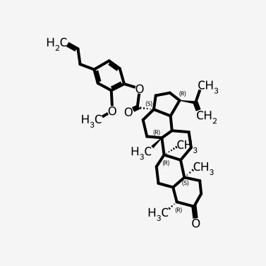 C=CCc1ccc(OC(=O)[C@]23CC[C@@H](C(=C)C)C2C2CCC4[C@@]5(C)CCC(=O)[C@H](C)C5CC[C@@]4(C)[C@]2(C)CC3)c(OC)c1